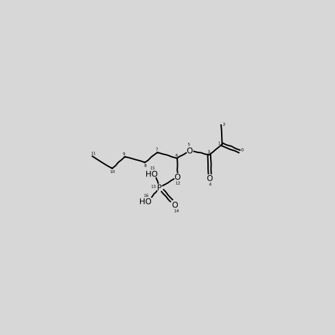 C=C(C)C(=O)OC(CCCCC)OP(=O)(O)O